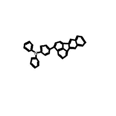 c1ccc(N(c2ccccc2)c2ccc(-c3ccc4c5c(cccc35)-c3cc5ccccc5cc3-4)cc2)cc1